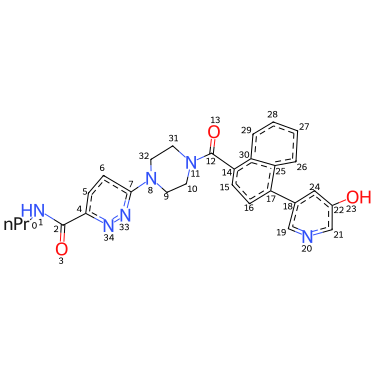 CCCNC(=O)c1ccc(N2CCN(C(=O)c3ccc(-c4cncc(O)c4)c4ccccc34)CC2)nn1